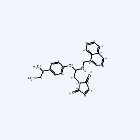 CCC(C)c1ccc(OC(CN2C(=O)C=CC2=O)OCc2cccc3ccccc23)cc1